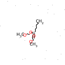 C=CCCCC[SiH](OCCOC)OCCOC